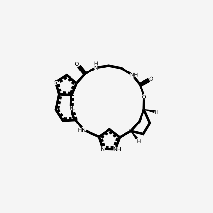 O=C1NCCNC(=O)c2csc3ccc(nc23)Nc2cc([nH]n2)[C@H]2CC[C@H](C2)O1